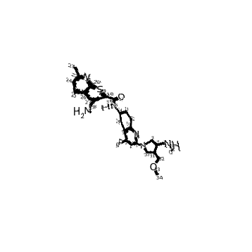 CNC1CN(c2cc(F)c3c(n2)CCC(NC(=O)c2sc4nc(C)ccc4c2N)C3)CC1COC